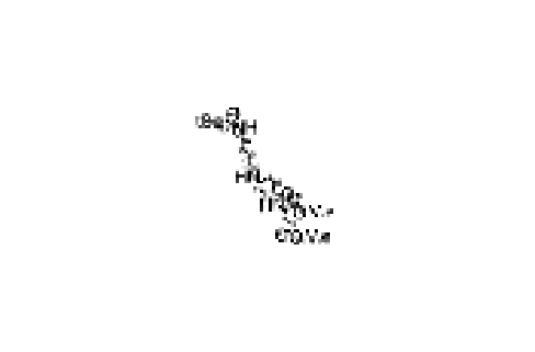 COC(=O)CCC(NC(=O)c1ccc(NCCCCCCNC(=O)OC(C)(C)C)cc1)C(=O)OC